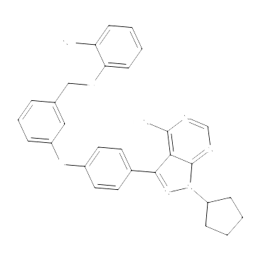 N#Cc1ccccc1OCc1cccc(Oc2ccc(-c3nn(C4CCCC4)c4ncnc(N)c34)cc2)c1